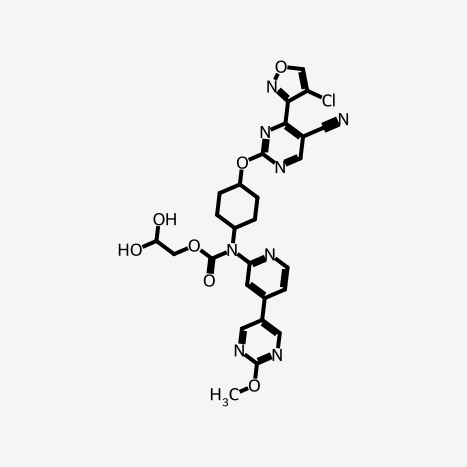 COc1ncc(-c2ccnc(N(C(=O)OCC(O)O)C3CCC(Oc4ncc(C#N)c(-c5nocc5Cl)n4)CC3)c2)cn1